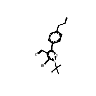 CCCc1ccc(-c2nn(C(C)(C)C)c(Br)c2C=O)cc1